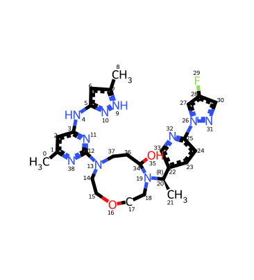 Cc1cc(Nc2cc(C)[nH]n2)nc(N2CCOCCN([C@H](C)c3ccc(-n4cc(F)cn4)nc3)C(O)CC2)n1